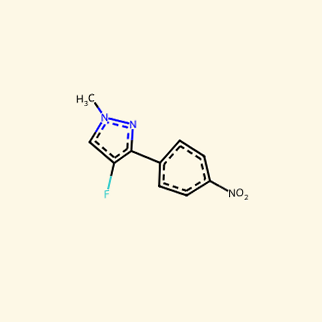 Cn1cc(F)c(-c2ccc([N+](=O)[O-])cc2)n1